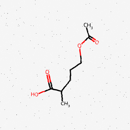 CC(=O)OCCCC(C)C(=O)O